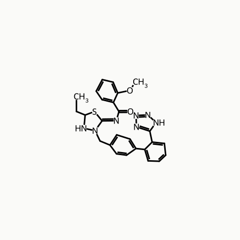 CCC1NN(Cc2ccc(-c3ccccc3-c3nnn[nH]3)cc2)C(=NC(=O)c2ccccc2OC)S1